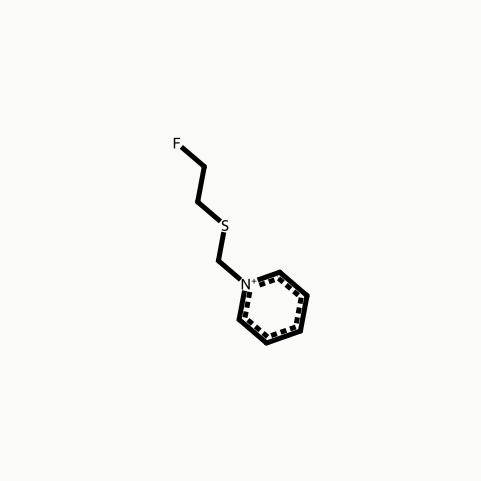 FCCSC[n+]1ccccc1